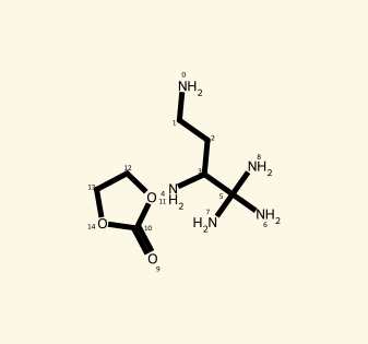 NCCC(N)C(N)(N)N.O=C1OCCO1